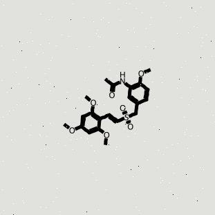 COc1cc(OC)c(C=CS(=O)(=O)Cc2ccc(OC)c(NC(C)=O)c2)c(OC)c1